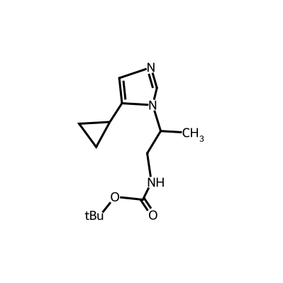 CC(CNC(=O)OC(C)(C)C)n1cncc1C1CC1